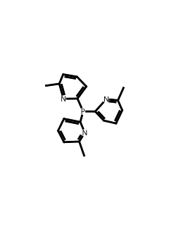 Cc1cccc(P(c2cccc(C)n2)c2cccc(C)n2)n1